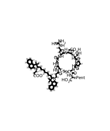 CCCCC[C@H](NC(=O)[C@@H]1CSSC[C@@H](NC(=O)CCN2/C(=C/C=C/C=C/C=C/C3=[N+](CCC(=O)[O-])c4ccc5ccccc5c4C3(C)C)C(C)(C)c3c2ccc2ccccc32)C(=O)NCC(=O)N[C@@H](CCCNC(=N)N)C(=O)N[C@@H](CC(=O)O)C(=O)N[C@@H](CO)C(=O)N2CCCC2C(=O)N1)C(=O)O